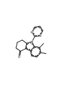 Cc1ccc2c3c(n(-c4ncccn4)c2c1C)CCCC3=O